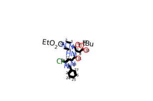 CCOC(=O)N1CCN(C(=O)C(CC(=O)OC(C)(C)C)NC(=O)c2cc(Cl)nc(-c3ccccc3)n2)CC1